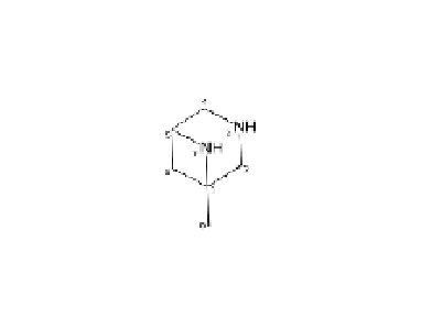 CC12CNCC(C1)N2